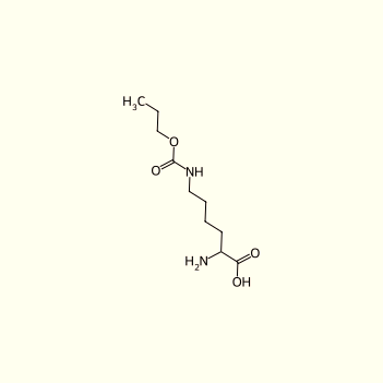 CCCOC(=O)NCCCCC(N)C(=O)O